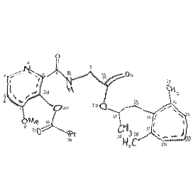 COc1ccnc(C(=O)NCC(=O)OC(C)Cc2c(C)cccc2C)c1OC(=O)C(C)C